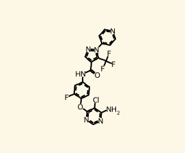 Nc1ncnc(Oc2ccc(NC(=O)c3cnn(-c4ccncc4)c3C(F)(F)F)cc2F)c1Cl